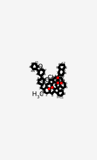 CC(Cc1ccc2c(c1)-c1ccccc1C2(Cc1ccccc1)c1ccccc1)C(Cc1ccc(-c2ccc3oc4ccccc4c3c2)cc1)c1ccc2c(c1)C(C)(C)c1cc(-c3ccc4ccccc4c3)ccc1-2